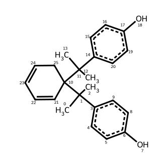 CC(C)(c1ccc(O)cc1)C1(C(C)(C)c2ccc(O)cc2)C=CC=CC1